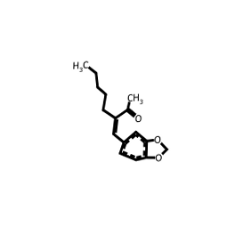 CCCCCC(=Cc1ccc2c(c1)OCO2)C(C)=O